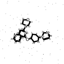 C1=CN(C2CCC(Oc3nc(N4CCOCC4)cc4ncccc34)CC2)CN=C1